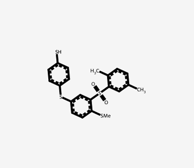 CSc1ccc(Sc2ccc(S)cc2)cc1S(=O)(=O)c1cc(C)ccc1C